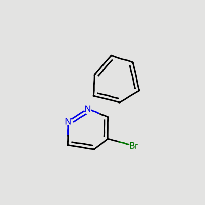 Brc1ccnnc1.c1ccccc1